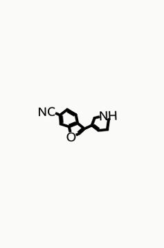 N#Cc1ccc2c(C3=CCCNC3)coc2c1